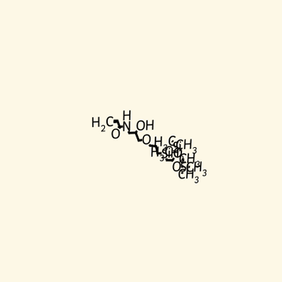 C=CC(=O)NCC(O)COCCC[SiH2]CC(O[Si](C)(C)C)O[Si](C)(C)C